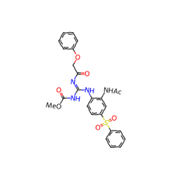 COC(=O)N/C(=N/C(=O)COc1ccccc1)Nc1ccc(S(=O)(=O)c2ccccc2)cc1NC(C)=O